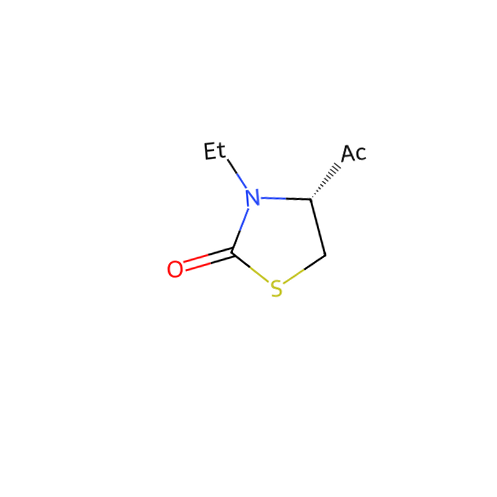 CCN1C(=O)SC[C@H]1C(C)=O